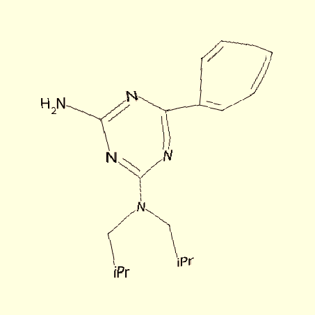 CC(C)CN(CC(C)C)c1nc(N)nc(-c2ccccc2)n1